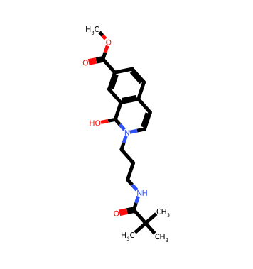 COC(=O)c1ccc2c(c1)C(O)N(CCCNC(=O)C(C)(C)C)C=C2